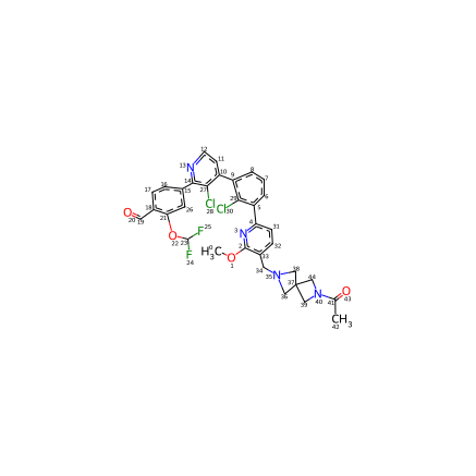 COc1nc(-c2cccc(-c3ccnc(-c4ccc(C=O)c(OC(F)F)c4)c3Cl)c2Cl)ccc1CN1CC2(C1)CN(C(C)=O)C2